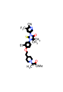 CCc1cc(N2C(=S)N(c3cnc(C#N)c(C(F)(F)F)c3)C(=O)C2(C)C)ccc1OCCC1CCN([C@@H](C)C(=O)OC)CC1